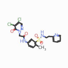 Cc1ccc(NC(=O)Cn2ncc(Cl)c(Cl)c2=O)cc1S(=O)(=O)NCCc1ccccn1